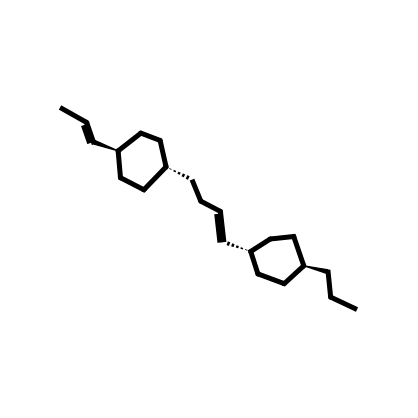 C/C=C/[C@H]1CC[C@H](CC/C=C/[C@H]2CC[C@H](CCC)CC2)CC1